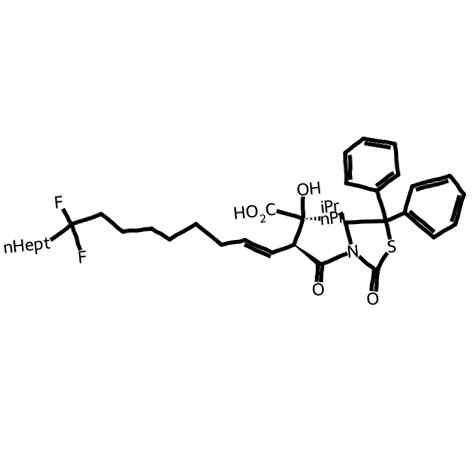 CCCCCCCC(F)(F)CCCCCC/C=C/[C@H](C(=O)N1C(=O)SC(c2ccccc2)(c2ccccc2)[C@@H]1C(C)C)[C@@](O)(CCC)C(=O)O